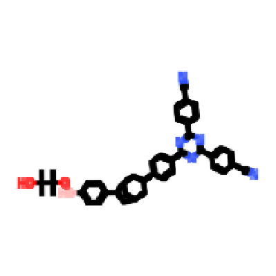 CC(C)(O)C(C)(C)OBc1ccc(C2CC3CC(c4ccc(-c5nc(-c6ccc(C#N)cc6)nc(-c6ccc(C#N)cc6)n5)cc4)CC2C3)cc1